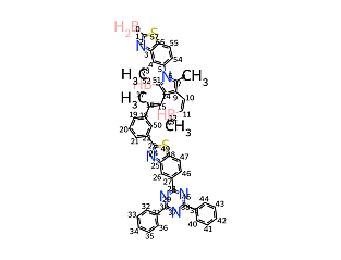 Bc1nc2cc(-n3c(C)c(/C=C\BC)c(/C=C(\C)c4cccc(-c5nc6cc(-c7nc(-c8ccccc8)nc(-c8ccccc8)n7)ccc6s5)c4)c3BC)ccc2s1